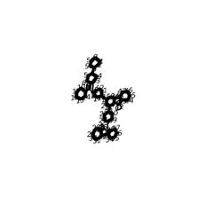 c1ccc(-c2ccc(N(c3ccccc3)c3ccc(-c4cc(-c5ccc(-n6c7ccccc7c7ccccc76)cc5)c5sc6ccccc6c5c4)cc3)cc2)cc1